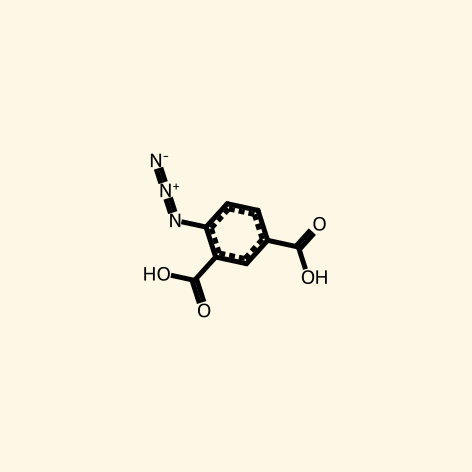 [N-]=[N+]=Nc1ccc(C(=O)O)cc1C(=O)O